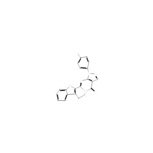 Cc1ccc(-n2ncc3c(=O)n4c(nc32)-c2[nH]c3ccccc3c2CC4)cc1